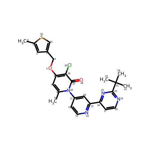 Cc1cc(COc2cc(C)n(-c3ccnc(-c4ccnc(C(C)(C)C)n4)c3)c(=O)c2Cl)cs1